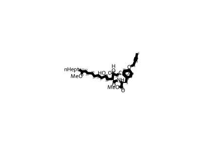 CC#CCOc1ccc(C[C@H](NC(=O)[C@@H](/C=C/CCCCCCC(CCCCCCC)OC)[C@@](O)(CC(=O)O)C(=O)O)C(=O)OC)cc1